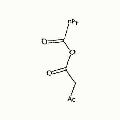 CCCC(=O)OC(=O)CC(C)=O